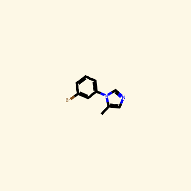 Cc1cncn1-c1cccc(Br)c1